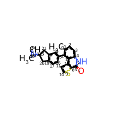 Cc1ccc2[nH]c(=O)c3sccc3c2c1-c1ccc2c(c1)CC(N(C)C)C2